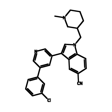 CN1CCCC(Cn2cc(-c3cncc(-c4cccc(Cl)c4)c3)c3cc(C#N)ccc32)C1